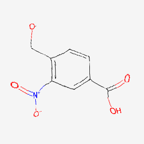 [O]Cc1ccc(C(=O)O)cc1[N+](=O)[O-]